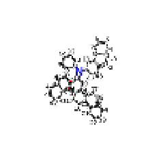 CC1(C)c2ccccc2-c2cc(N(c3ccc4ccc5c6ccccc6ccc5c4c3)c3ccccc3-c3ccc4ccccc4c3)ccc21